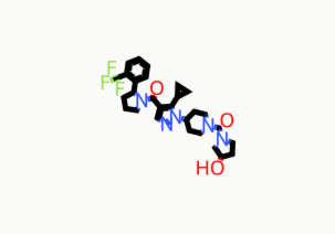 O=C(N1CCC(n2ncc(C(=O)N3CCCC3c3ccccc3C(F)(F)F)c2C2CC2)CC1)N1CCC(O)C1